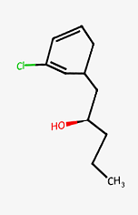 CCC[C@@H](O)CC1C=C(Cl)C=CC1